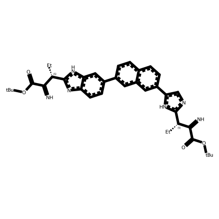 CC[C@@H](C(=N)C(=O)OC(C)(C)C)c1ncc(-c2ccc3ccc(-c4ccc5nc([C@@H](CC)C(=N)C(=O)OC(C)(C)C)[nH]c5c4)cc3c2)[nH]1